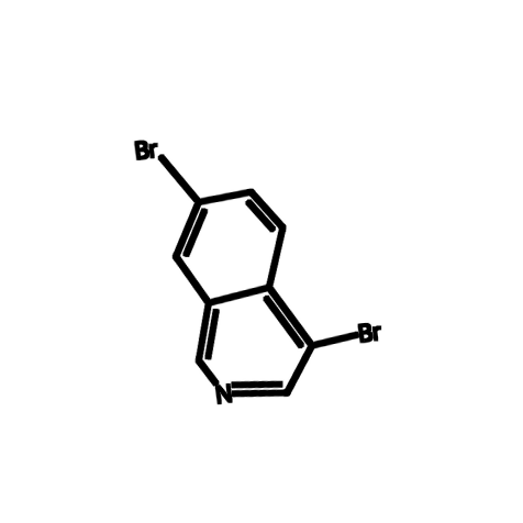 Brc1ccc2c(Br)cncc2c1